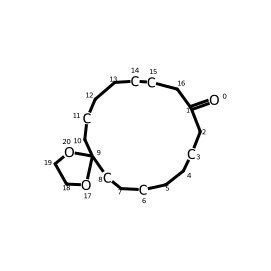 O=C1CCCCCCCC2(CCCCCCC1)OCCO2